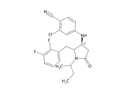 CCC(C)N1C(=O)C[C@H](Nc2ccc(C#N)c(Cl)c2)C1Cc1cccc(F)c1F